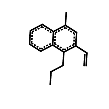 C=Cc1cc(C)c2ccccc2c1CCC